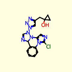 OC1(Cc2cn(N3C=NC4c5ccccc5-n5c(cnc5Cl)N43)nn2)CC1